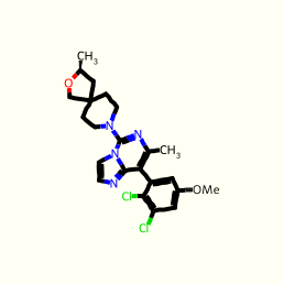 COc1cc(Cl)c(Cl)c(-c2c(C)nc(N3CCC4(CC3)CO[C@@H](C)C4)n3ccnc23)c1